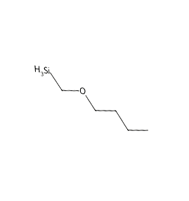 CCCCOC[SiH3]